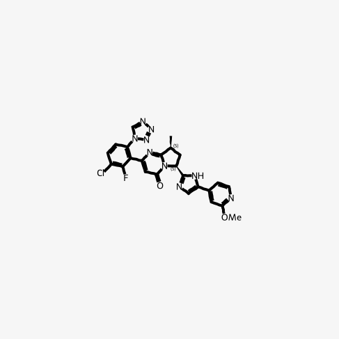 COc1cc(-c2cnc([C@@H]3C[C@H](C)c4nc(-c5c(-n6cnnn6)ccc(Cl)c5F)cc(=O)n43)[nH]2)ccn1